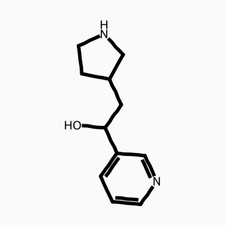 OC(CC1CCNC1)c1cccnc1